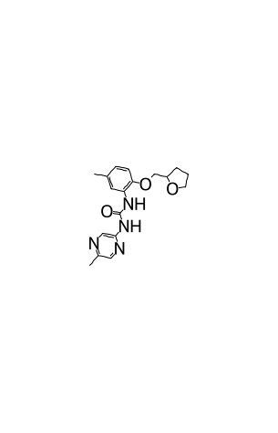 Cc1ccc(OCC2CCCO2)c(NC(=O)Nc2cnc(C)cn2)c1